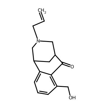 C=CCN1CC2CC(C1)c1cccc(CO)c1C2=O